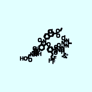 CCOC(=O)/C(Cl)=C/c1cc(N2C(=O)C3=C(CCCC3)C2=O)ccc1Cl.COc1nc(C)nc(NC(=O)NS(=O)(=O)c2ccccc2CCC(F)(F)F)n1.C[S+](C)C.O=C(O)CNCP(=O)([O-])O